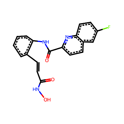 O=C(C=Cc1ccccc1NC(=O)c1ccc2cc(F)ccc2n1)NO